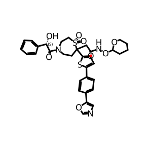 O=C(CC1(c2ccc(-c3ccc(-c4cnco4)cc3)s2)CCN(C(=O)[C@@H](O)c2ccccc2)CCS1(=O)=O)NOC1CCCCO1